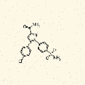 NC(=O)c1cn(-c2ccc(Cl)cc2)c(-c2ccc(S(N)(=O)=O)cc2)n1